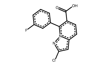 O=C(O)c1ccc2cc(Cl)nn2c1-c1cccc(F)c1